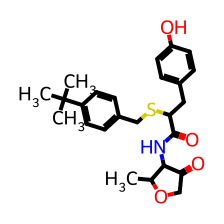 CC1OCC(=O)C1NC(=O)C(Cc1ccc(O)cc1)SCc1ccc(C(C)(C)C)cc1